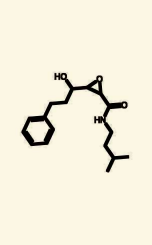 CC(C)CCNC(=O)C1OC1C(O)CCc1ccccc1